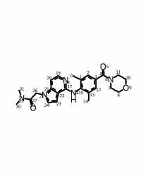 Cc1cc(C(=O)N2CCOCC2)cc(C)c1Nc1nccc2c1ccn2CC(=O)N(C)C